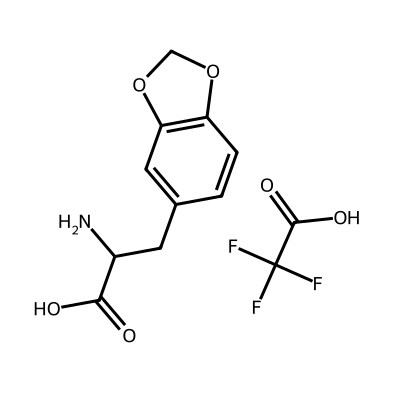 NC(Cc1ccc2c(c1)OCO2)C(=O)O.O=C(O)C(F)(F)F